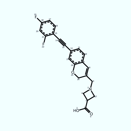 O=C(O)C1CN(CC2=Cc3ccc(C#Cc4ccc(F)cc4F)cc3OC2)C1